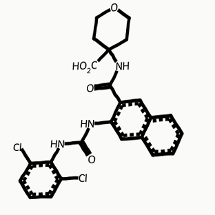 O=C(Nc1cc2ccccc2cc1C(=O)NC1(C(=O)O)CCOCC1)Nc1c(Cl)cccc1Cl